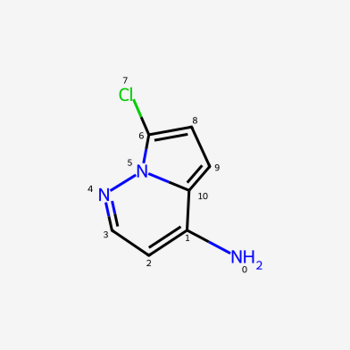 Nc1ccnn2c(Cl)ccc12